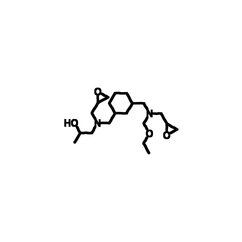 CCOCN(CC1CCCC(CN(CC(C)O)CC2CO2)C1)CC1CO1